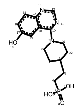 O=P(O)(O)CCC1CCN(c2ncnc3ccc(O)cc23)CC1